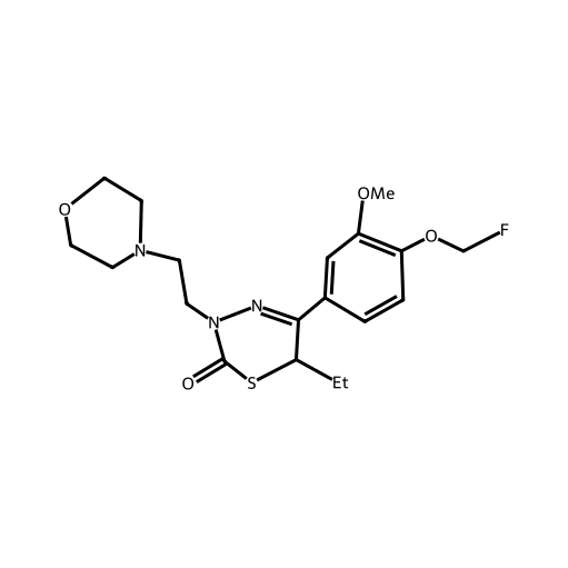 CCC1SC(=O)N(CCN2CCOCC2)N=C1c1ccc(OCF)c(OC)c1